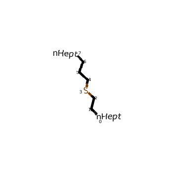 CCCCCCC[CH]CSCCCCCCCCCC